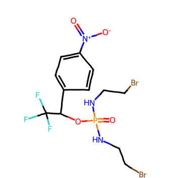 O=[N+]([O-])c1ccc(C(OP(=O)(NCCBr)NCCBr)C(F)(F)F)cc1